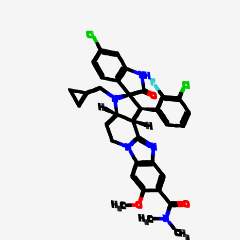 COc1cc2c(cc1C(=O)N(C)C)nc1n2CC[C@H]2[C@@H]1[C@H](c1cccc(Cl)c1F)[C@]1(C(=O)Nc3cc(Cl)ccc31)N2CC1CC1